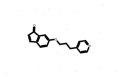 O=C1C=Cc2ccc(OCCCc3ccncc3)cc21